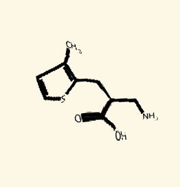 Cc1ccsc1C[C@@H](CN)C(=O)O